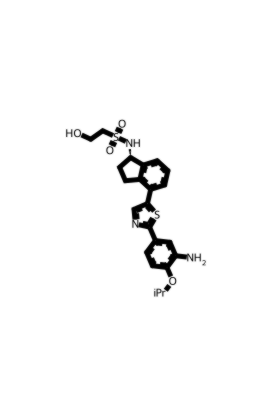 CC(C)Oc1ccc(-c2ncc(-c3cccc4c3CC[C@@H]4NS(=O)(=O)CCO)s2)cc1N